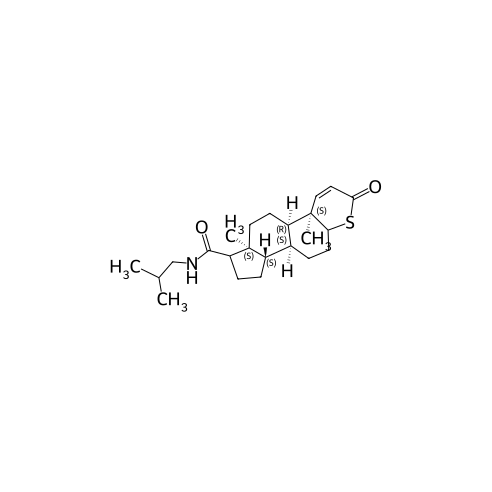 CC(C)CNC(=O)C1CC[C@H]2[C@@H]3CCC4SC(=O)C=C[C@]4(C)[C@@H]3CC[C@]12C